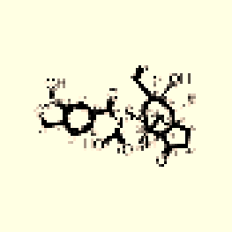 C=C[C@]1(C)C[C@@H](N(C(=O)O)C(=O)c2ccc3c(c2)B(O)OC3)[C@]2(C)[C@H](C)CC[C@]3(CCC(=O)[C@H]32)[C@@H](C)[C@@H]1O